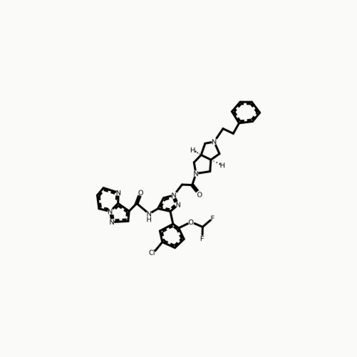 O=C(Nc1cn(CC(=O)N2C[C@H]3CN(CCc4ccccc4)C[C@H]3C2)nc1-c1cc(Cl)ccc1OC(F)F)c1cnn2cccnc12